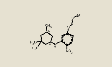 CCOCOc1ccc([N+](=O)[O-])c(N[C@@H]2C[C@H](C)CC(C)(C)C2)c1